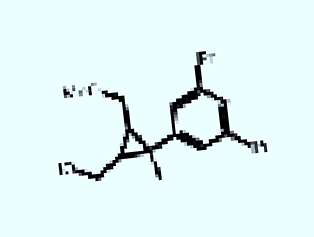 COCC1C(CO)[C@@]1(C)c1cc(C(C)C)cc(C(C)C)c1